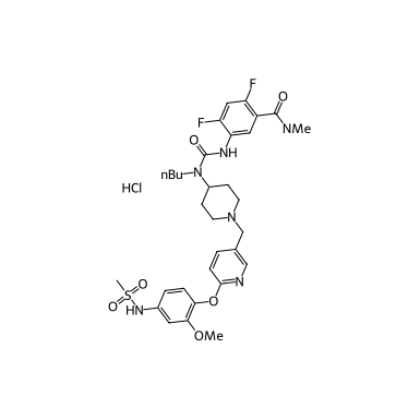 CCCCN(C(=O)Nc1cc(C(=O)NC)c(F)cc1F)C1CCN(Cc2ccc(Oc3ccc(NS(C)(=O)=O)cc3OC)nc2)CC1.Cl